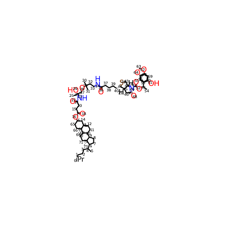 CC(C)CCCC(C)C1CCC2C3CC=C4CC(OC(=O)CCC(=O)NC(C)(O)COC(C)(C)CCNC(=O)CCCC[C@@H]5SC[C@H]6[C@@H]5CC(=O)N6C(=O)OC(C)c5cc6c(cc5O)OCO6)CC[C@]4(C)C3CC[C@]12C